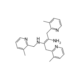 Cc1cccnc1CN/C(Cc1ncccc1C)=C(/N)Cc1ncccc1C